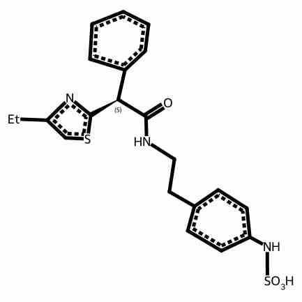 CCc1csc([C@H](C(=O)NCCc2ccc(NS(=O)(=O)O)cc2)c2ccccc2)n1